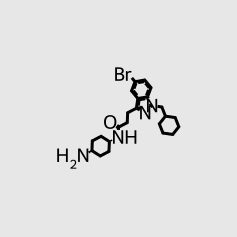 N[C@H]1CC[C@H](NC(=O)CCc2nn(CC3CCCCC3)c3ccc(Br)cc23)CC1